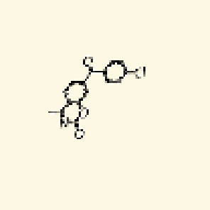 Cc1nc(=O)oc2cc(C(=O)c3ccc(Cl)cc3)ccc12